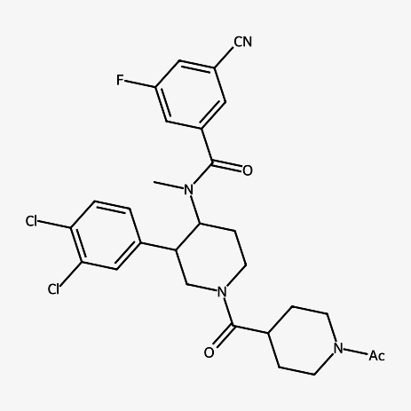 CC(=O)N1CCC(C(=O)N2CCC(N(C)C(=O)c3cc(F)cc(C#N)c3)C(c3ccc(Cl)c(Cl)c3)C2)CC1